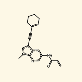 C=CC(=O)Nc1cnc2c(c1)c(C#CC1=CCCCC1)cn2C